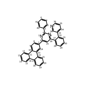 c1ccc(-c2nc(-c3ccc4c5ccccc5c5ccccc5c4c3)cc(-c3ccccc3-c3cccnc3)n2)cc1